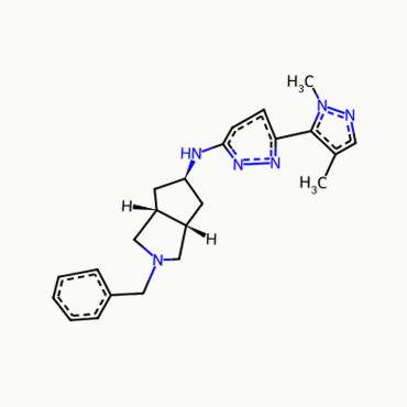 Cc1cnn(C)c1-c1ccc(N[C@H]2C[C@@H]3CN(Cc4ccccc4)C[C@@H]3C2)nn1